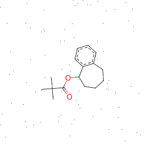 CC(C)(C)C(=O)OC1CCCCc2ccccc21